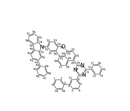 c1ccc(-c2cccc(-c3nc(-c4ccccc4)nc(-c4ccc5c6c(cccc46)-c4cc(-n6c7ccccc7c7ccc(-c8ccccc8)cc76)ccc4O5)n3)c2)cc1